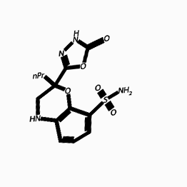 CCCC1(c2n[nH]c(=O)o2)CNc2cccc(S(N)(=O)=O)c2O1